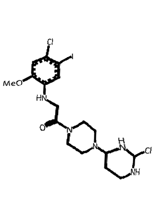 COc1cc(Cl)c(I)cc1NCC(=O)N1CCN(C2CCNC(Cl)N2)CC1